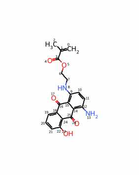 C=C(C)C(=O)OCCNc1ccc(N)c2c1C(=O)c1cccc(O)c1C2=O